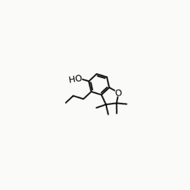 CCCc1c(O)ccc2c1C(C)(C)C(C)(C)O2